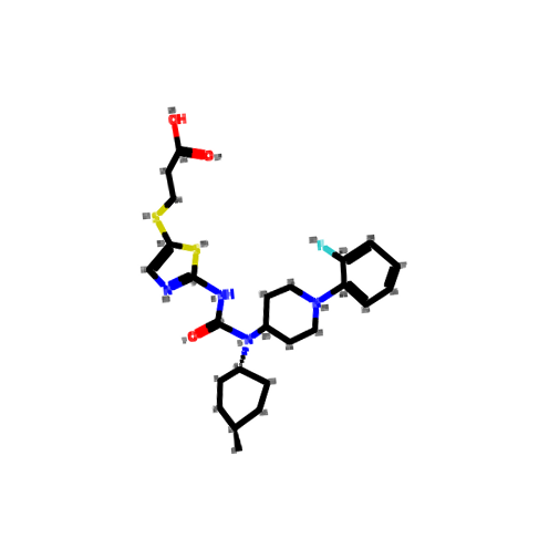 C[C@H]1CC[C@H](N(C(=O)Nc2ncc(SCCC(=O)O)s2)C2CCN(c3ccccc3F)CC2)CC1